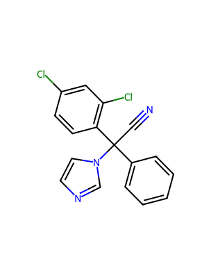 N#CC(c1ccccc1)(c1ccc(Cl)cc1Cl)n1ccnc1